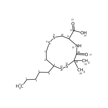 CCCCCC1CCSSCC(C(=O)O)NC(=O)C(C)(C)SS1